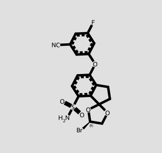 N#Cc1cc(F)cc(Oc2ccc(S(N)(=O)=O)c3c2CCC32OC[C@@H](Br)O2)c1